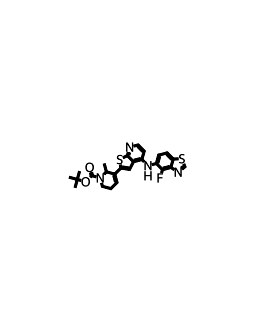 CC1C(c2cc3c(Nc4ccc5scnc5c4F)ccnc3s2)=CCCN1C(=O)OC(C)(C)C